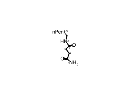 CCCCCCNC(=O)CCC(N)=O